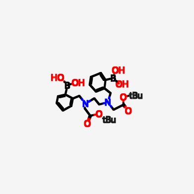 CC(C)(C)OC(=O)CN(CCN(CC(=O)OC(C)(C)C)Cc1ccccc1B(O)O)Cc1ccccc1B(O)O